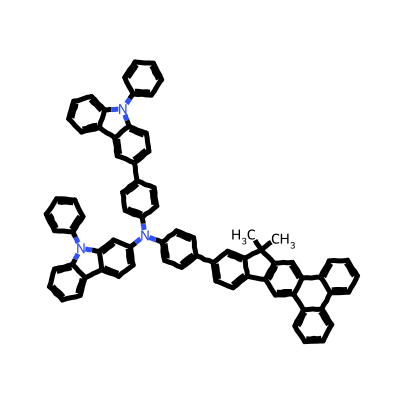 CC1(C)c2cc(-c3ccc(N(c4ccc(-c5ccc6c(c5)c5ccccc5n6-c5ccccc5)cc4)c4ccc5c6ccccc6n(-c6ccccc6)c5c4)cc3)ccc2-c2cc3c4ccccc4c4ccccc4c3cc21